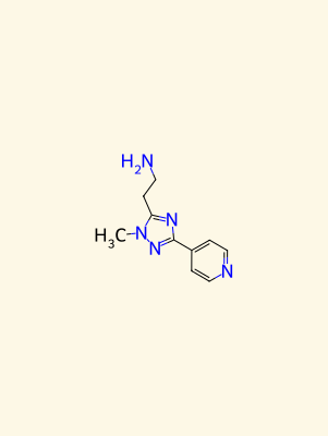 Cn1nc(-c2ccncc2)nc1CCN